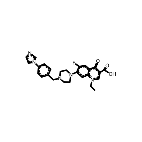 CCn1cc(C(=O)O)c(=O)c2cc(F)c(N3CCN(Cc4ccc(-n5ccnc5)cc4)CC3)cc21